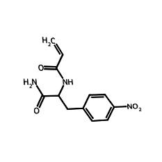 C=CC(=O)NC(Cc1ccc([N+](=O)[O-])cc1)C(N)=O